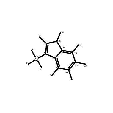 CC1=C([Si](C)(C)C)c2c(C)c(C)c(C)c(C)c2C1C